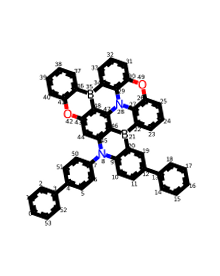 c1ccc(-c2ccc(N3c4ccc(-c5ccccc5)cc4B4c5cccc6c5N5c7c(cccc7B7c8ccccc8Oc8cc3c4c5c87)O6)cc2)cc1